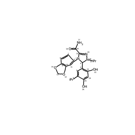 CC(C)c1cc(C2N(c3ccc4c(c3)OCO4)C(C(N)=O)=NN2C(C)C)c(O)cc1O